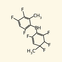 Cc1c(F)c(F)cc(F)c1BC1=C(F)C(F)C(C)(F)C=C1F